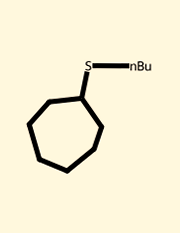 CC[CH]CSC1CCCCCC1